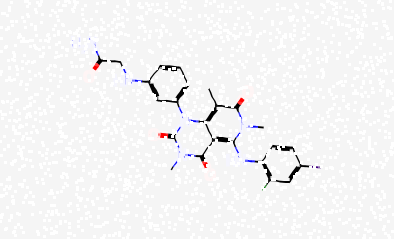 Cc1c(=O)n(C)c(Nc2ccc(I)cc2F)c2c(=O)n(C)c(=O)n(-c3cccc(NCC(N)=O)c3)c12